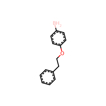 Bc1ccc(OCCc2ccccc2)cc1